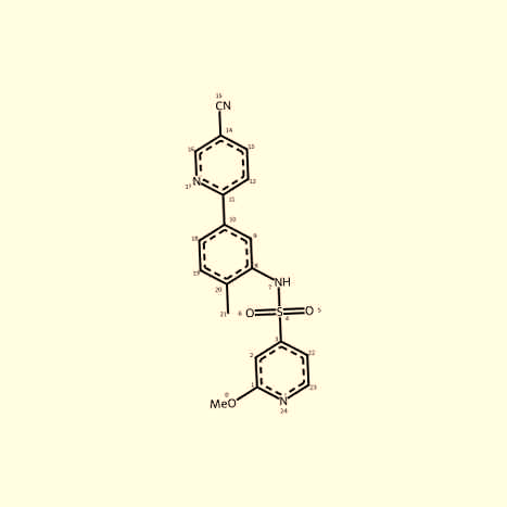 COc1cc(S(=O)(=O)Nc2cc(-c3ccc(C#N)cn3)ccc2C)ccn1